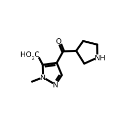 Cn1ncc(C(=O)C2CCNC2)c1C(=O)O